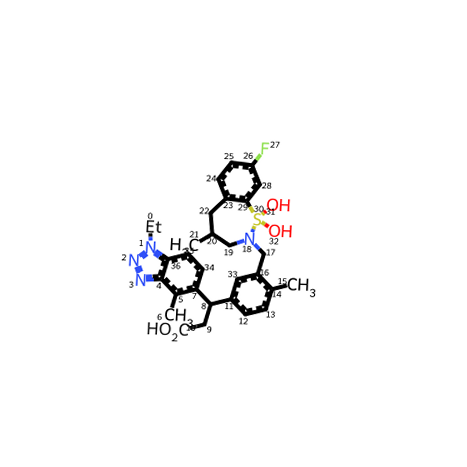 CCn1nnc2c(C)c(C(CC(=O)O)c3ccc(C)c(CN4CC(C)Cc5ccc(F)cc5S4(O)O)c3)ccc21